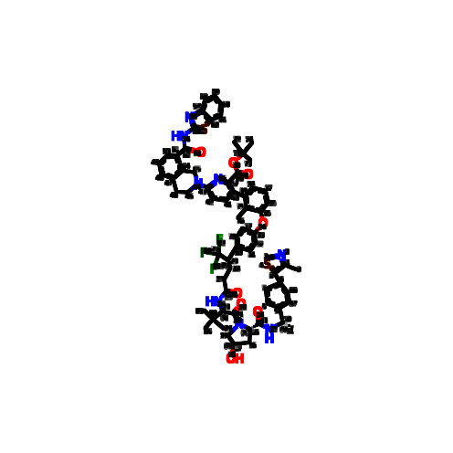 Cc1ncsc1-c1ccc([C@H](C)NC(=O)[C@@H]2C[C@@H](O)CN2C(=O)[C@@H](NC(=O)CC[C@H](c2ccc(Oc3cccc(-c4ccc(N5CCc6cccc(C(=O)Nc7nc8ccccc8s7)c6C5)nc4C(=O)OC(C)(C)C)c3C)cc2)C(F)(F)F)C(C)(C)C)cc1